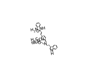 CC(C)(C)[Si](C)(C)OCCN(CCc1c[nH]c2ccccc12)Cc1ccc(C=CC(=O)Nc2ccccc2N)cc1